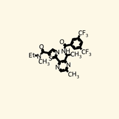 CCN(C)C(=O)c1cnc(-c2ncc(C)nc2C(C)NC(=O)c2cc(C(F)(F)F)cc(C(F)(F)F)c2)s1